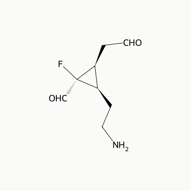 NCC[C@@H]1[C@H](CC=O)[C@@]1(F)C=O